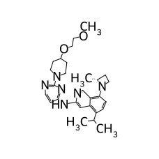 COCCOC1CCN(c2nccc(Nc3cc4c(C(C)C)ccc(N5CC[C@H]5C)c4cn3)n2)CC1